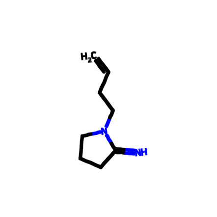 C=CCCN1CCCC1=N